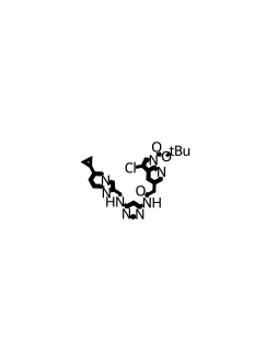 CC(C)(C)OC(=O)n1cc(Cl)c2cc(CC(=O)Nc3cc(NCc4cn5cc(C6CC6)ccc5n4)ncn3)cnc21